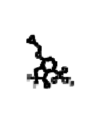 O=C1c2c(S(=O)(=O)C(F)(F)F)ccc(OCC3CC3)c2CC1(F)F